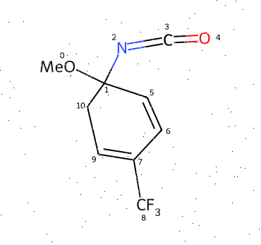 COC1(N=C=O)C=CC(C(F)(F)F)=CC1